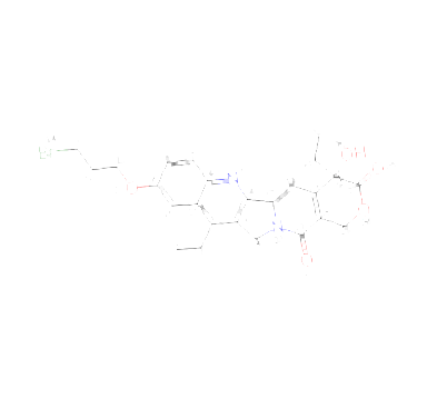 CCc1c2c(nc3ccc(OCCCBr)cc13)-c1cc3c(c(=O)n1C2)COC(=O)[C@]3(O)CC